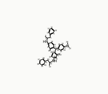 Cc1cc(NC(C)Cc2ccccc2)ccc1C(c1ccc(N(C)C)cc1)c1ccc(NC(C)Cc2ccccc2)cc1C